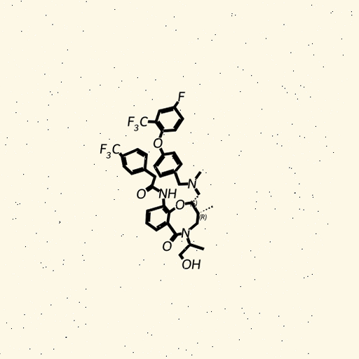 CC(CO)N1C[C@@H](C)[C@@H](CN(C)Cc2ccc(Oc3ccc(F)cc3C(F)(F)F)cc2)Oc2c(NC(=O)Cc3ccc(C(F)(F)F)cc3)cccc2C1=O